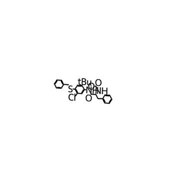 CC(C)(C)OC(=O)NC(Cc1ccccc1)C(=O)Nc1ccc(SCc2ccccc2)c(Cl)c1